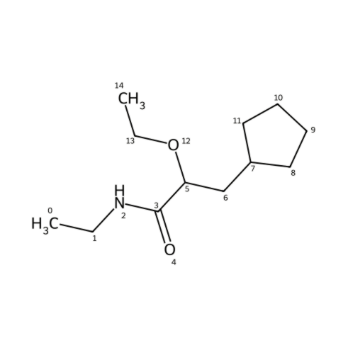 CCNC(=O)C(CC1CCCC1)OCC